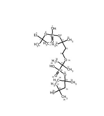 CCC(C)(C)OP(=O)(O)OC(C)(C)CCOC(C)(C)P(=O)(O)OC(C)(C)CC(C)(C)S